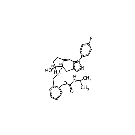 CC(C)NC(=O)Oc1ccccc1CC[C@]1(O)CCC2=Cc3c(cnn3-c3ccc(F)cc3)C[C@@]21C